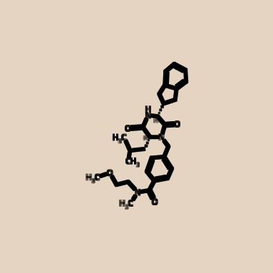 COCCN(C)C(=O)c1ccc(CN2C(=O)[C@@H](C3Cc4ccccc4C3)NC(=O)[C@H]2CC(C)C)cc1